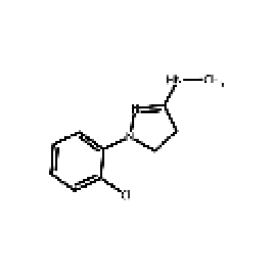 CNC1=NN(c2ccccc2Cl)CC1